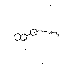 NCCCCN1CCC(c2ccc3c(c2)CCCC3)CC1